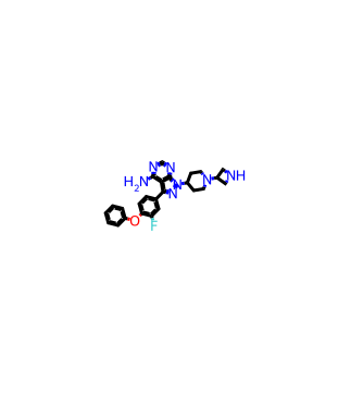 Nc1ncnc2c1c(-c1ccc(Oc3ccccc3)c(F)c1)nn2C1CCN(C2CNC2)CC1